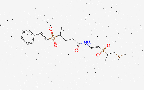 CSCC(C)S(=O)(=O)/C=C/NC(=O)CCC(C)S(=O)(=O)/C=C/c1ccccc1